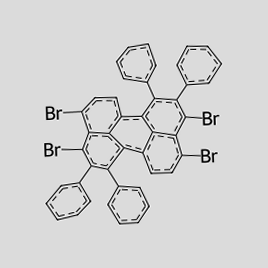 Brc1ccc2c3c(-c4ccccc4)c(-c4ccccc4)c(Br)c4c(Br)ccc(c5c(-c6ccccc6)c(-c6ccccc6)c(Br)c1c25)c43